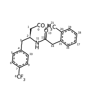 O=C(O)C[C@H](Cc1ccc(C(F)(F)F)cc1)NC(=O)Cc1ccccc1C(F)(F)F